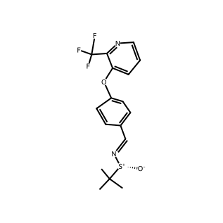 CC(C)(C)[S@@+]([O-])/N=C/c1ccc(Oc2cccnc2C(F)(F)F)cc1